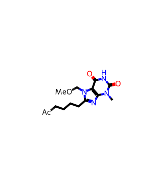 COCn1c(CCCCC(C)=O)nc2c1c(=O)[nH]c(=O)n2C